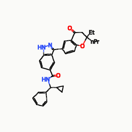 CCCC1(CC)CC(=O)c2cc(-c3n[nH]c4ccc(C(=O)NC(c5ccccc5)C5CC5)cc34)ccc2O1